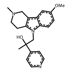 COc1ccc2c(c1)c1c(n2CC(C)(O)c2ccncc2)CCN(C)C1